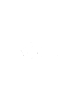 CC(C(=O)O)c1ccc(-c2cccc3[nH]nc(N)c23)cc1